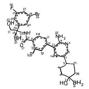 BC1(O)CCC(c2cnc(N)c(-c3ccc(C(=O)N[C@](B)(CO)c4cc(F)cc(Br)c4)c(F)c3)n2)CC1